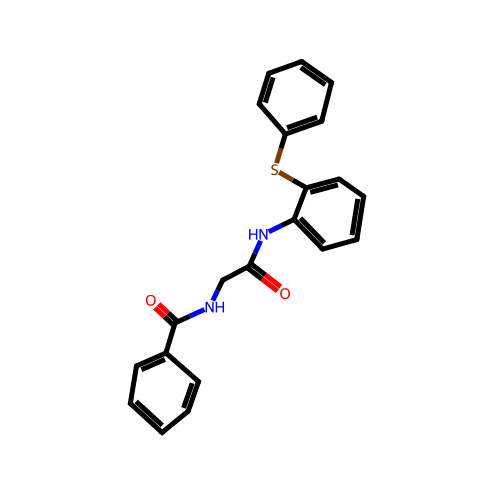 O=C(CNC(=O)c1ccccc1)Nc1ccccc1Sc1ccccc1